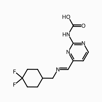 O=C(O)Nc1nccc(/C=N/CC2CCC(F)(F)CC2)n1